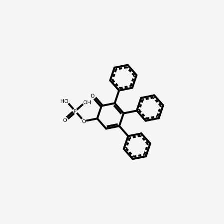 O=C1C(c2ccccc2)=C(c2ccccc2)C(c2ccccc2)=CC1OP(=O)(O)O